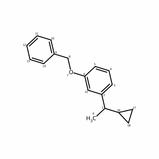 CC(c1cccc(OCc2ccccc2)c1)C1CC1